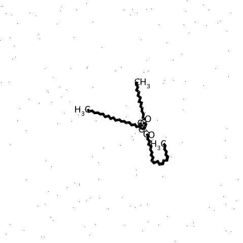 CCCCC/C=C\C/C=C\C/C=C\CCCCCCCCC(=O)OC[C@@H](COC(=O)CCCCCCCCCCCCCC)OC(=O)CCCCCCCCCCCCCCCCCCCC